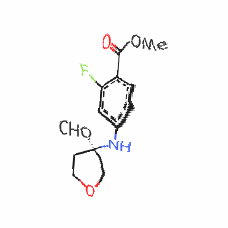 COC(=O)c1ccc(N[C@]2(C=O)CCOC2)cc1F